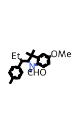 CCC(c1ccc(C)cc1)C1N(C=O)c2ccc(OC)cc2C1(C)C